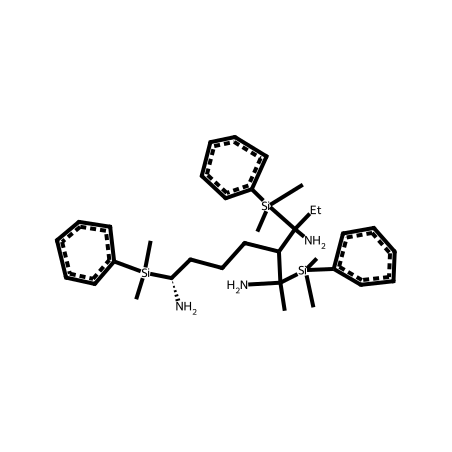 CCC(N)(C(CCC[C@H](N)[Si](C)(C)c1ccccc1)C(C)(N)[Si](C)(C)c1ccccc1)[Si](C)(C)c1ccccc1